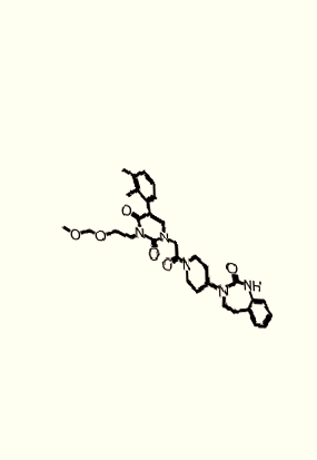 COCOCCn1c(=O)c(-c2cccc(C)c2C)cn(CC(=O)N2CCC(N3CCc4ccccc4NC3=O)CC2)c1=O